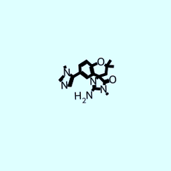 CN1C(=O)C2(CC(C)(C)Oc3ccc(-c4cncn4C)cc32)N=C1N